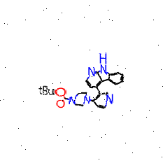 CC(C)(C)OC(=O)N1CCN(c2ccncc2-c2ccnc3[nH]c4ccccc4c23)CC1